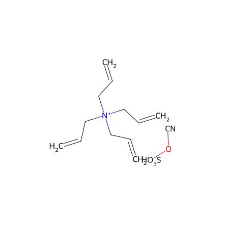 C=CC[N+](CC=C)(CC=C)CC=C.N#COS(=O)(=O)O